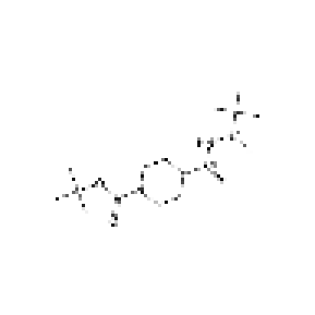 C[C@H](N[S+]([O-])C(C)(C)C)C1CCN(C(=O)OC(C)(C)C)CC1